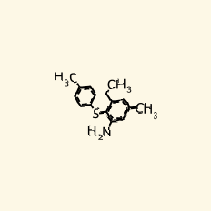 CCc1cc(C)cc(N)c1Sc1ccc(C)cc1